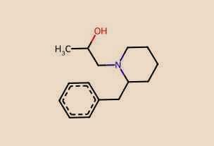 CC(O)CN1CCCCC1Cc1ccccc1